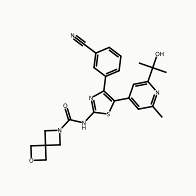 Cc1cc(-c2sc(NC(=O)N3CC4(COC4)C3)nc2-c2cccc(C#N)c2)cc(C(C)(C)O)n1